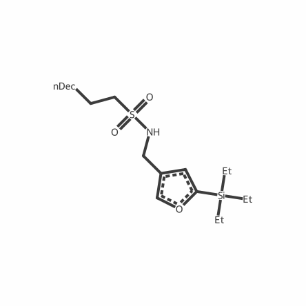 CCCCCCCCCCCCS(=O)(=O)NCc1coc([Si](CC)(CC)CC)c1